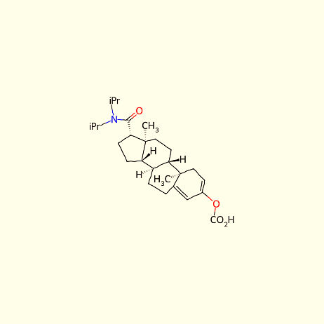 CC(C)N(C(=O)[C@H]1CC[C@H]2[C@@H]3CCC4=CC(OC(=O)O)=CC[C@]4(C)[C@H]3CC[C@]12C)C(C)C